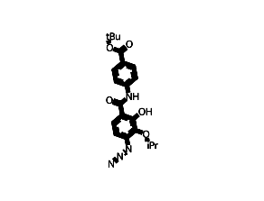 CC(C)Oc1c(N=[N+]=[N-])ccc(C(=O)Nc2ccc(C(=O)OC(C)(C)C)cc2)c1O